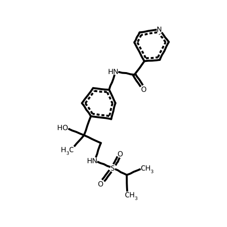 CC(C)S(=O)(=O)NCC(C)(O)c1ccc(NC(=O)c2ccncc2)cc1